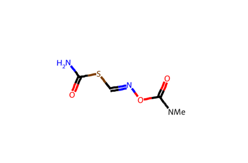 CNC(=O)ON=CSC(N)=O